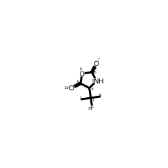 CC(C)(F)C1NC(=O)OC1=O